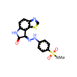 CNS(=O)(=O)c1ccc(N/N=C2/C(=O)Nc3ccc4ncsc4c32)cc1